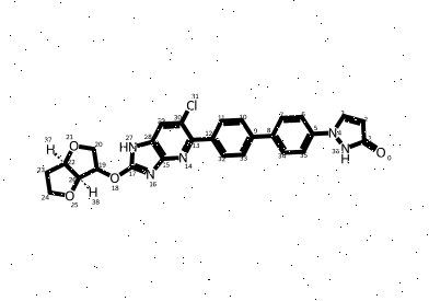 O=c1ccn(-c2ccc(-c3ccc(-c4nc5nc(OC6CO[C@@H]7CCO[C@H]67)[nH]c5cc4Cl)cc3)cc2)[nH]1